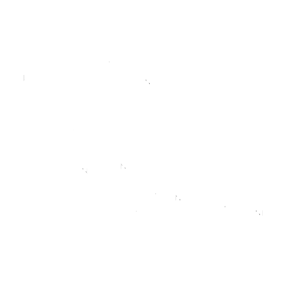 O=C(Cn1cnc(-c2ccc(Cl)cc2)c1-c1ccnc(C(F)(F)F)c1)N1CCC2(CC1)CNC2